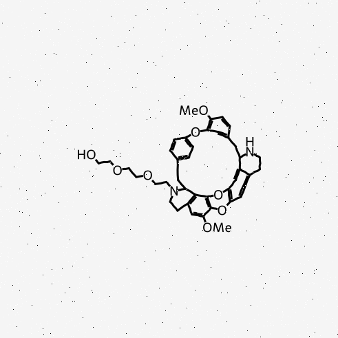 COc1ccc2cc1Oc1ccc(cc1)CC1c3c(cc(OC)c4c3Oc3cc5c(cc3O4)CCNC5C2)CCN1CCOCCOCCO